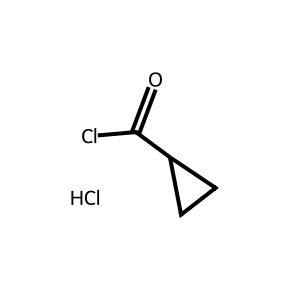 Cl.O=C(Cl)C1CC1